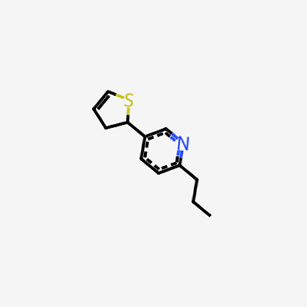 CCCc1ccc(C2CC=CS2)cn1